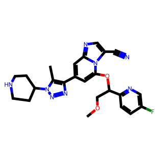 COCC(Oc1cc(-c2nnn(C3CCNCC3)c2C)cc2ncc(C#N)n12)c1ccc(F)cn1